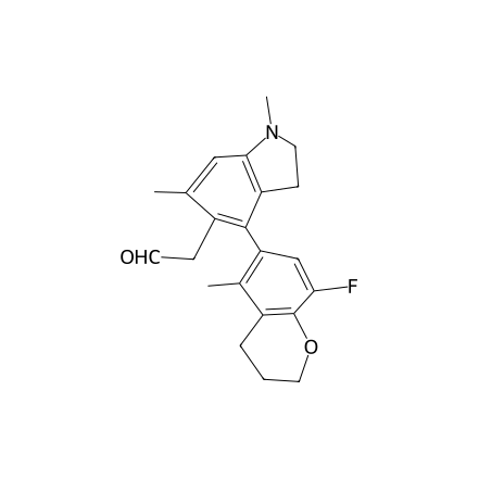 Cc1cc2c(c(-c3cc(F)c4c(c3C)CCCO4)c1CC=O)CCN2C